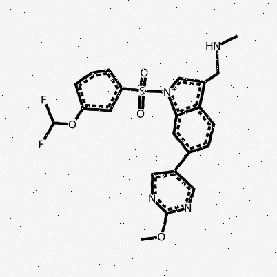 CNCc1cn(S(=O)(=O)c2cccc(OC(F)F)c2)c2cc(-c3cnc(OC)nc3)ccc12